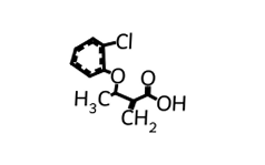 C=C(C(=O)O)C(C)Oc1ccccc1Cl